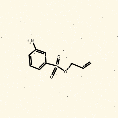 C=C[CH]OS(=O)(=O)c1cccc(N)c1